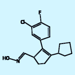 ON=CC1CCC(C2CCCC2)=C1c1ccc(F)c(Cl)c1